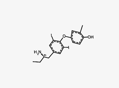 CC[C@@H](N)Cc1cc(I)c(Oc2ccc(O)c(C)c2)c(I)c1